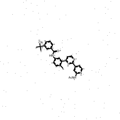 CC(=O)Nc1cc(-c2nccc(-c3cc(NC(=O)c4cccc(C(C)(C)C#N)c4)ccc3C)n2)ccn1